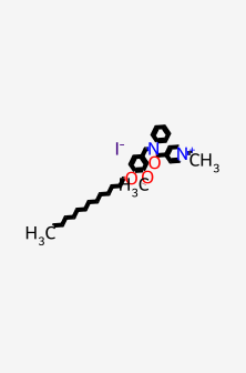 CCCCCCCCCCCCCCOc1ccc(CN(C(=O)c2cc[n+](CC)cc2)c2ccccc2)cc1OC.[I-]